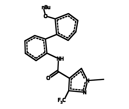 CCCCOc1ccccc1-c1ccccc1NC(=O)c1cn(C)nc1C(F)(F)F